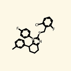 Cc1cccc(C2CCCc3nc(SCc4c(F)cccc4Cl)n(-c4ccc(F)cc4)c32)c1